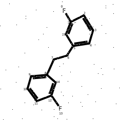 Fc1cccc([CH]Cc2cccc(F)c2)c1